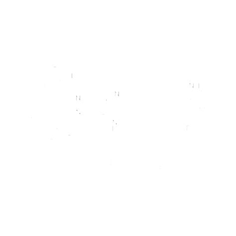 NC(=O)c1cc(-c2cccnc2C(Cc2cc(F)cc(F)c2)NC(=O)Cn2nc(C(F)(F)F)c3c2C(F)(F)C2CC32)ccc1F